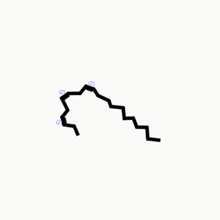 CC/C=C\C/C=C\C/C=C\CCCCCCCCCC